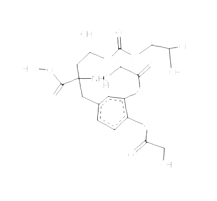 CCC(=O)Oc1ccc(CC(N)(C[C@H](C)OC(=O)OCC(C)C)C(=O)OC)cc1OC(=O)CC